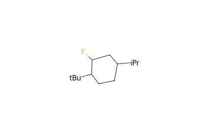 CC(C)C1CCC(C(C)(C)C)C(F)C1